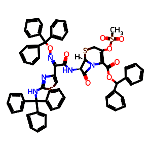 CS(=O)(=O)OC1=C(C(=O)OC(c2ccccc2)c2ccccc2)N2C(=O)[C@@H](NC(=O)/C(=N\OC(c3ccccc3)(c3ccccc3)c3ccccc3)c3csc(NC(c4ccccc4)(c4ccccc4)c4ccccc4)n3)[C@H]2SC1